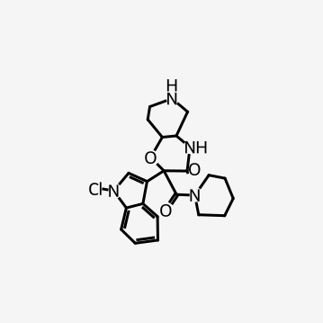 O=C1NC2CNCCC2OC1(C(=O)N1CCCCC1)c1cn(Cl)c2ccccc12